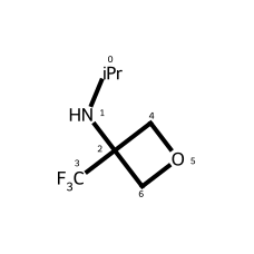 CC(C)NC1(C(F)(F)F)COC1